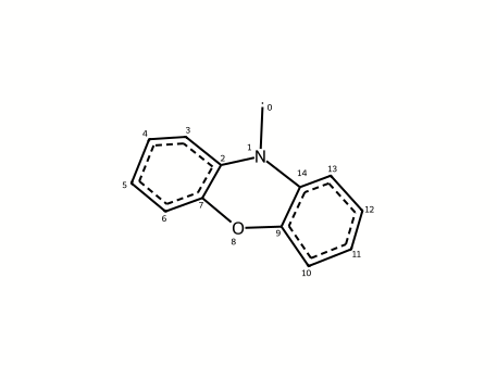 [CH2]N1c2ccccc2Oc2ccccc21